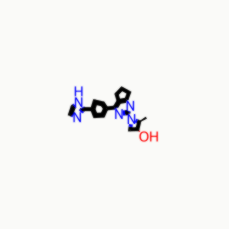 C[C@H]1[C@H](O)CN1c1nc2c(c(-c3ccc(-c4ncc[nH]4)cc3)n1)CCC2